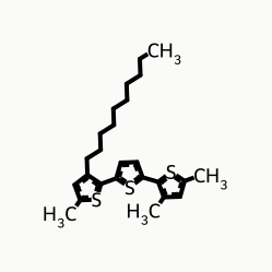 CCCCCCCCCCc1cc(C)sc1-c1ccc(-c2sc(C)cc2C)s1